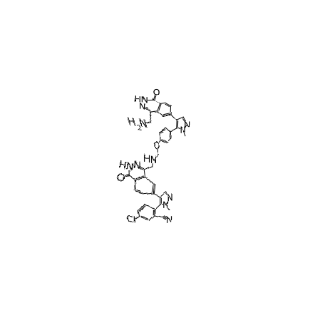 Cn1ncc(-c2ccc3c(=O)[nH]nc(CN)c3c2)c1-c1ccc(OCNCc2n[nH]c(=O)c3ccc(-c4cnn(C)c4-c4ccc(Cl)cc4C#N)cc23)cc1